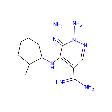 CC1CCCCC1Nc1c(C(=N)N)cnn(N)/c1=N\N